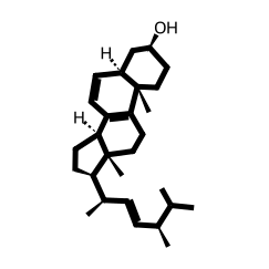 CC(C)[C@@H](C)/C=C/[C@@H](C)[C@H]1CC[C@H]2C3=C(CC[C@]12C)[C@@]1(C)CC[C@H](O)C[C@@H]1C=C3